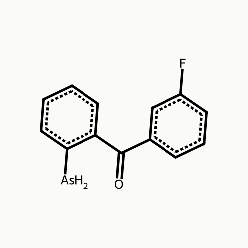 O=C(c1cccc(F)c1)c1ccccc1[AsH2]